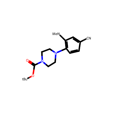 CNc1cc(C#N)ccc1N1CCN(C(=O)OC(C)(C)C)CC1